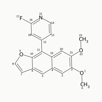 COc1cc2cc3ccoc3c(-c3ccnc(F)c3)c2cc1OC